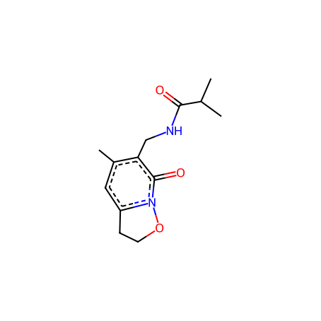 Cc1cc2n(c(=O)c1CNC(=O)C(C)C)OCC2